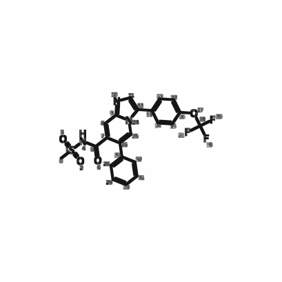 CS(=O)(=O)NC(=O)c1cc2ncc(-c3ccc(OC(F)(F)F)cc3)n2cc1-c1ccccc1